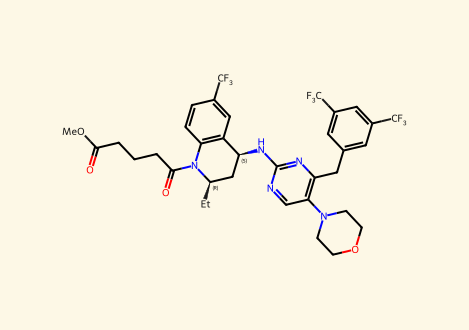 CC[C@@H]1C[C@H](Nc2ncc(N3CCOCC3)c(Cc3cc(C(F)(F)F)cc(C(F)(F)F)c3)n2)c2cc(C(F)(F)F)ccc2N1C(=O)CCCC(=O)OC